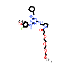 COCCOCCOCCOCCC(=O)N1CCCC1CNc1nc(NCC2CCCCC2)nc(Nc2ccc(OC)c(F)c2)n1